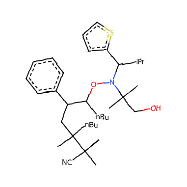 CCCCC(ON(C(c1cccs1)C(C)C)C(C)(C)CO)C(CC(C)(CCCC)C(C)(C)C#N)c1ccccc1